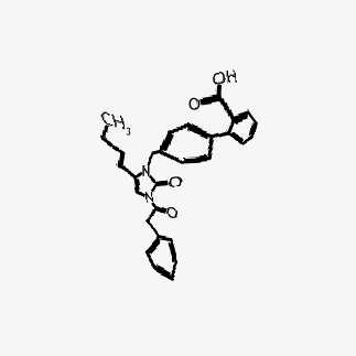 CCCCc1cn(C(=O)Cc2ccccc2)c(=O)n1Cc1ccc(-c2ccccc2C(=O)O)cc1